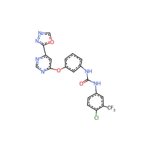 O=C(Nc1cccc(Oc2cc(-c3nnco3)ncn2)c1)Nc1ccc(Cl)c(C(F)(F)F)c1